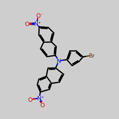 O=[N+]([O-])c1ccc2cc(N(c3ccc(Br)cc3)c3ccc4cc([N+](=O)[O-])ccc4c3)ccc2c1